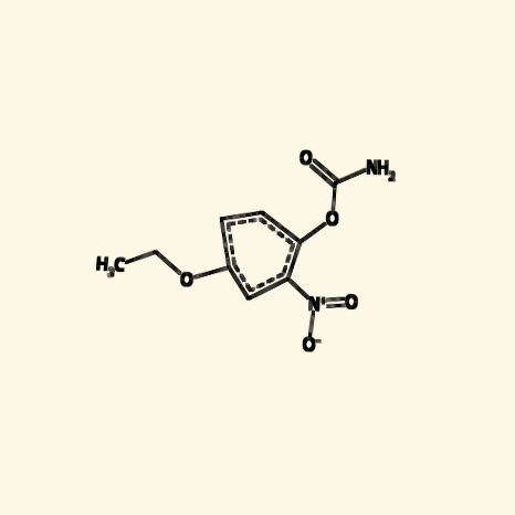 CCOc1ccc(OC(N)=O)c([N+](=O)[O-])c1